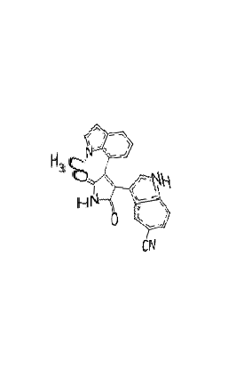 Cn1ccc2cccc(C3=C(c4c[nH]c5ccc(C#N)cc45)C(=O)NC3=O)c21